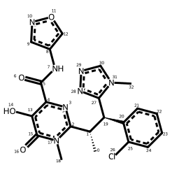 C[C@H](c1nc(C(=O)Nc2cnoc2)c(O)c(=O)n1C)[C@H](c1ccccc1Cl)c1nncn1C